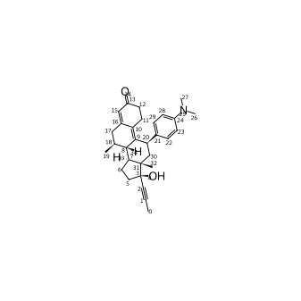 CC#C[C@]1(O)CC[C@H]2[C@H]3C(=C4CCC(=O)C=C4C[C@@H]3C)[C@@H](c3ccc(N(C)C)cc3)C[C@@]21C